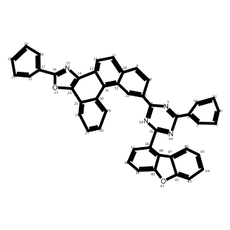 c1ccc(-c2nc(-c3ccc4ccc5c6nc(-c7ccccc7)oc6c6ccccc6c5c4c3)nc(-c3cccc4oc5ccccc5c34)n2)cc1